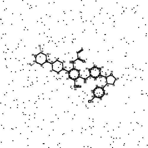 C=CC(=O)Nc1cc(Nc2cc(N3OCCC3c3ccc(Cl)cc3)ncn2)c(OC)cc1N1CCC(N2C[C@@H](C)O[C@@H](C)C2)CC1